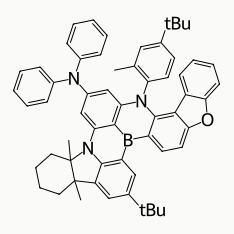 Cc1cc(C(C)(C)C)ccc1N1c2cc(N(c3ccccc3)c3ccccc3)cc3c2B(c2cc(C(C)(C)C)cc4c2N3C2(C)CCCCC42C)c2ccc3oc4ccccc4c3c21